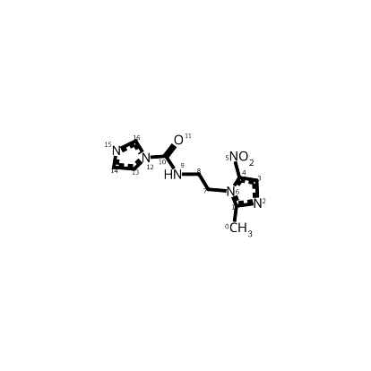 Cc1ncc([N+](=O)[O-])n1CCNC(=O)n1ccnc1